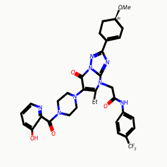 CCc1c(N2CCN(C(=O)c3ncccc3O)CC2)c(=O)n2nc(C3=CC[C@H](OC)CC3)nc2n1CC(=O)Nc1ccc(C(F)(F)F)cc1